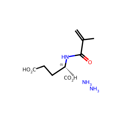 C=C(C)C(=O)N[C@@H](CCC(=O)O)C(=O)O.N.N